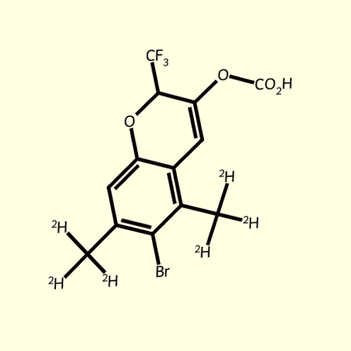 [2H]C([2H])([2H])c1cc2c(c(C([2H])([2H])[2H])c1Br)C=C(OC(=O)O)C(C(F)(F)F)O2